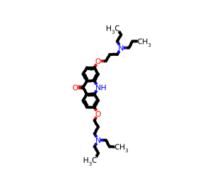 CCCN(CCC)CCCOc1ccc2c(=O)c3ccc(OCCCN(CCC)CCC)cc3[nH]c2c1